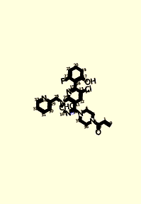 C=CC(=O)N1CCN(/C(=N/C)c2cc(Cl)c(C3=C(O)CCC=C3F)nc2N(C=O)Cc2ccccn2)CC1